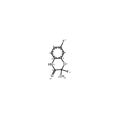 CC1(F)Oc2cc(F)ccc2NC1=O